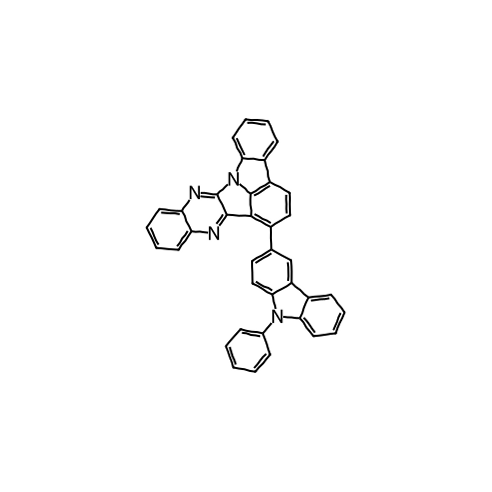 c1ccc(-n2c3ccccc3c3cc(-c4ccc5c6ccccc6n6c7nc8ccccc8nc7c4c56)ccc32)cc1